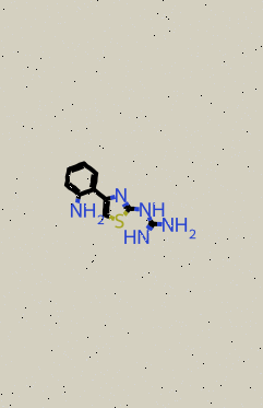 N=C(N)Nc1nc(-c2ccccc2N)cs1